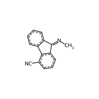 CN=C1c2ccccc2-c2c(C#N)cccc21